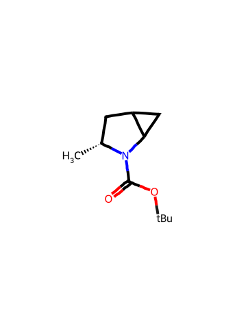 C[C@@H]1CC2CC2N1C(=O)OC(C)(C)C